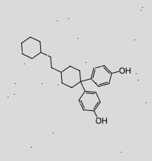 Oc1ccc(C2(c3ccc(O)cc3)CCC(CCC3CCCCC3)CC2)cc1